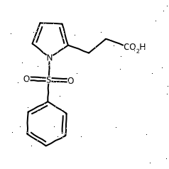 O=C(O)CCc1cccn1S(=O)(=O)c1ccccc1